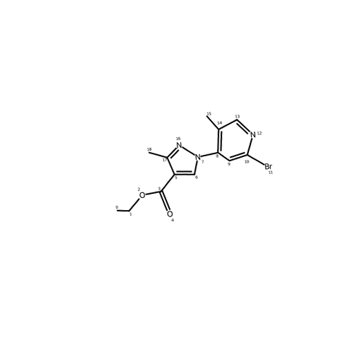 CCOC(=O)c1cn(-c2cc(Br)ncc2C)nc1C